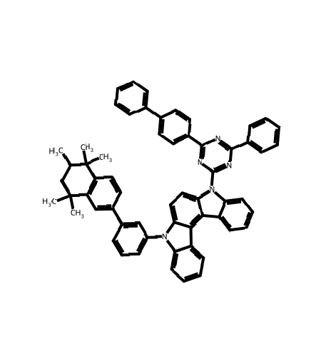 CC1CC(C)(C)c2cc(-c3cccc(-n4c5ccccc5c5c6c7ccccc7n(-c7nc(-c8ccccc8)nc(-c8ccc(-c9ccccc9)cc8)n7)c6ccc54)c3)ccc2C1(C)C